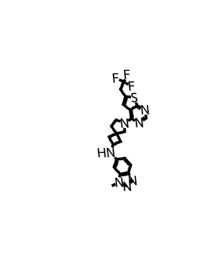 Cn1nnc2ccc(NC3CC4(CCN(c5ncnc6sc(CC(F)(F)F)cc56)C4)C3)cc21